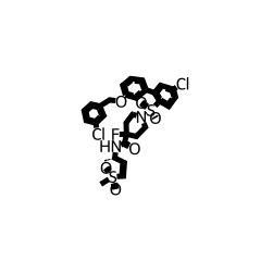 C[C@@H](/C=C\S(C)(=O)=O)NC(=O)C1(F)CCN(S(=O)(=O)c2ccc(Cl)cc2-c2cccc(OCc3cccc(Cl)c3)c2)CC1